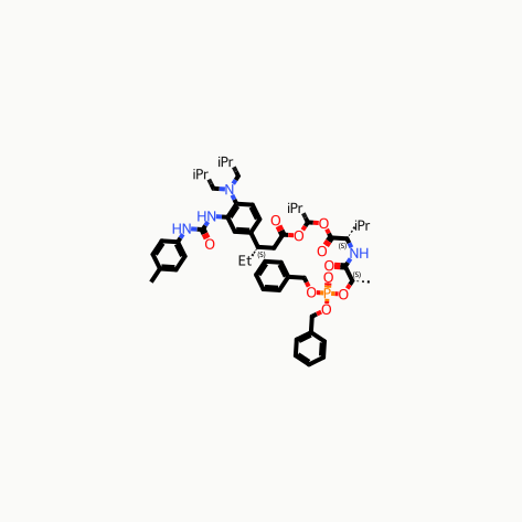 CC[C@@H](CC(=O)OC(OC(=O)[C@@H](NC(=O)[C@H](C)OP(=O)(OCc1ccccc1)OCc1ccccc1)C(C)C)C(C)C)c1ccc(N(CC(C)C)CC(C)C)c(NC(=O)Nc2ccc(C)cc2)c1